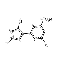 CCc1nn(C)cc1-c1cc(F)cc(C(=O)O)c1